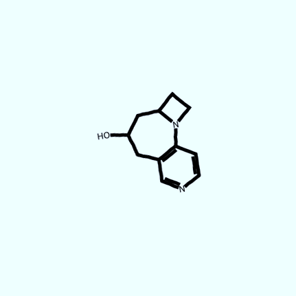 OC1Cc2cnccc2N2CCC2C1